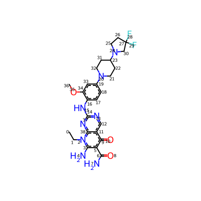 CCn1c(N)c(C(N)=O)c(=O)c2cnc(Nc3ccc(N4CCC(N5CCC(F)(F)C5)CC4)cc3OC)nc21